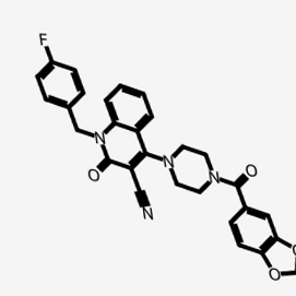 N#Cc1c(N2CCN(C(=O)c3ccc4c(c3)OCO4)CC2)c2ccccc2n(Cc2ccc(F)cc2)c1=O